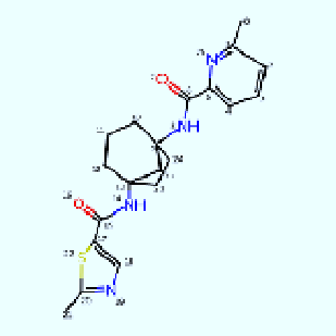 Cc1cccc(C(=O)NC23CCCC(NC(=O)c4cnc(C)s4)(CC2)C3)n1